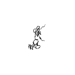 CCC#Cc1nn(C(=O)CCCC)c(=O)n1Cc1ccc(-c2ccccc2-c2nnn[nH]2)cc1